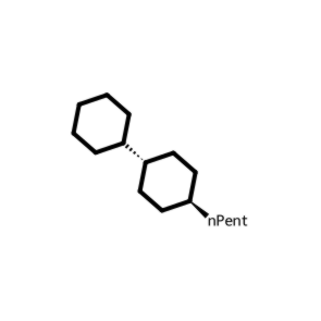 CCCCC[C@H]1CC[C@H](C2CCCCC2)CC1